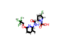 Cc1ccc(OCC(F)(F)F)nc1NC(=O)[C@@H]1C[C@@H](F)CN1C(=O)O